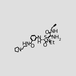 C#CCNC(=O)/C(N)=C1\S[C@H](CNc2cccc(C(=O)NCCCN3CCCC3)c2)C(=O)N1CC